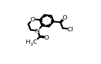 CC(=O)N1CCOc2ccc(C(=O)CCl)cc21